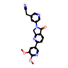 COc1cc(-c2ccc3c(n2)CN(c2cncc(CC#N)c2)C3=O)cnc1OC